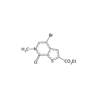 CCOC(=O)c1cc2c(Br)cn(C)c(=O)c2s1